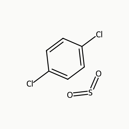 Clc1ccc(Cl)cc1.O=S=O